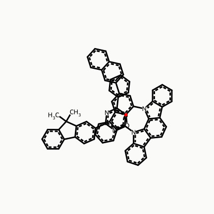 CC1(C)c2ccccc2-c2ccc(-c3nc(-c4ccccc4)nc(-n4c5ccccc5c5ccc6c7ccccc7n(-c7cc(-c8ccc9ccccc9c8)cc8c7oc7ccccc78)c6c54)n3)cc21